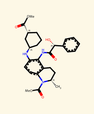 COC(=O)[C@@H]1CCC[C@@H](Nc2ccc3c(c2NC(=O)[C@H](O)c2ccccc2)CC[C@H](C)N3C(=O)OC)C1